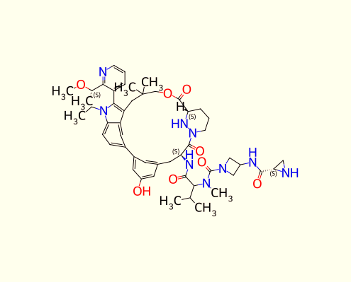 CCn1c(-c2cccnc2[C@H](C)OC)c2c3cc(ccc31)-c1cc(O)cc(c1)C[C@H](NC(=O)C(C(C)C)N(C)C(=O)N1CC(NC(=O)[C@@H]3CN3)C1)C(=O)N1CCC[C@H](N1)C(=O)OCC(C)(C)C2